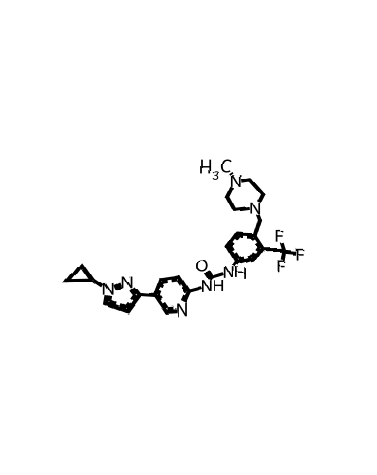 CN1CCN(Cc2ccc(NC(=O)Nc3ccc(-c4ccn(C5CC5)n4)cn3)cc2C(F)(F)F)CC1